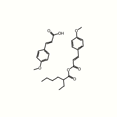 CCCCC(CC)C(=O)OC(=O)C=Cc1ccc(OC)cc1.COc1ccc(C=CC(=O)O)cc1